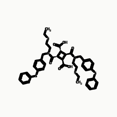 CCSCCN(Cc1ccc(Sc2ccccc2)cc1)C(=O)[C@H]1[C@H](C(=O)O)[C@H](C(=O)N(CCSCC)Cc2ccc(Sc3ccccc3)cc2)[C@H]1C(=O)O